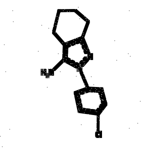 Nc1c2c(nn1-c1ccc(Cl)cc1)CCCC2